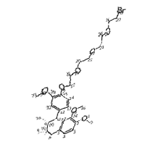 COc1ccc(C[C@H](C)[C@H](C)Cc2ccc(OCCOCCOCCOCCBr)c(OC)c2)cc1OC